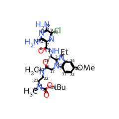 CCn1c(CNC(=O)c2nc(Cl)c(N)nc2N)[n+](CC(=O)N(C)CCN(C)C(=O)OC(C)(C)C)c2ccc(OC)cc21